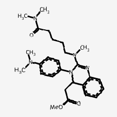 COC(=O)CC1c2ccccc2N=C(N(C)CCCCC(=O)N(C)C)N1c1ccc(N(C)C)cc1